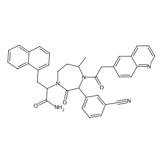 CC1CCN(C(Cc2cccc3ccccc23)C(N)=O)C(=O)C(c2cccc(C#N)c2)N1C(=O)Cc1ccc2ncccc2c1